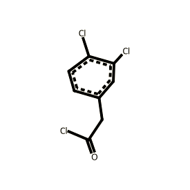 O=C(Cl)Cc1ccc(Cl)c(Cl)c1